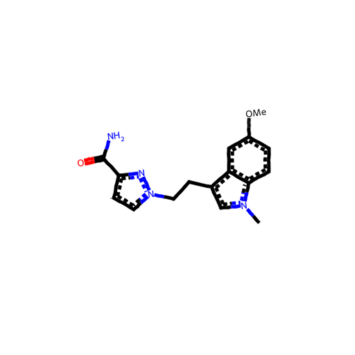 COc1ccc2c(c1)c(CCn1c[c]c(C(N)=O)n1)cn2C